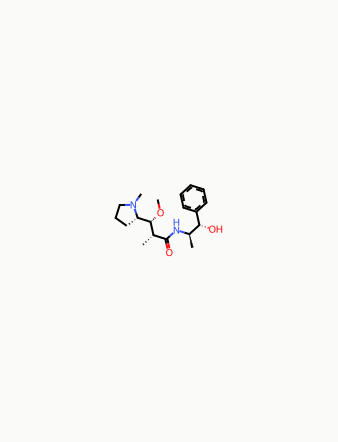 CO[C@H]([C@@H](C)C(=O)N[C@H](C)[C@@H](O)c1ccccc1)[C@@H]1CCCN1C